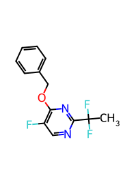 CC(F)(F)c1ncc(F)c(OCc2ccccc2)n1